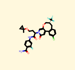 CC1(OCCC(C(=O)Nc2ccc(C(N)=O)c(F)c2)n2cc3c(cc2=O)-c2cc(Cl)ccc2C[C@@H](C(F)(F)F)CO3)CC1